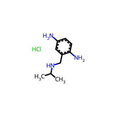 CC(C)NCc1cc(N)ccc1N.Cl